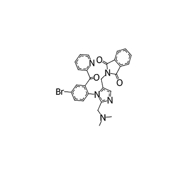 CN(C)Cc1ncc(CN2C(=O)c3ccccc3C2=O)n1-c1ccc(Br)cc1C(=O)c1ccccn1